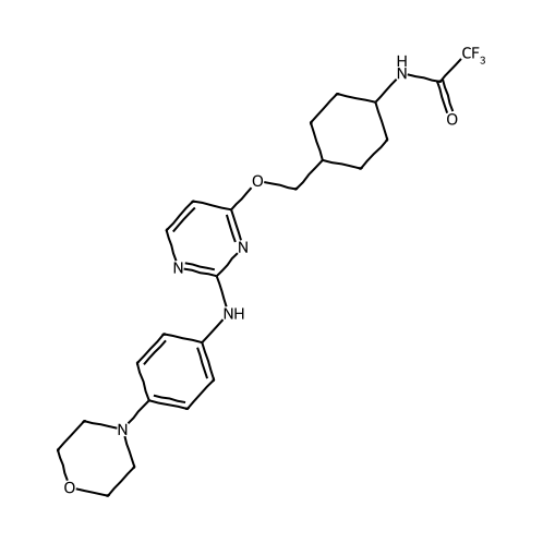 O=C(NC1CCC(COc2ccnc(Nc3ccc(N4CCOCC4)cc3)n2)CC1)C(F)(F)F